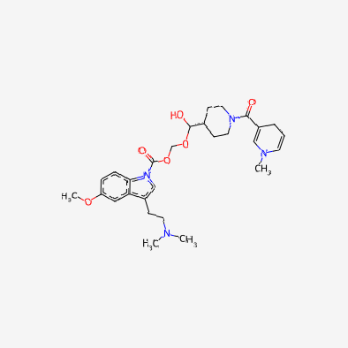 COc1ccc2c(c1)c(CCN(C)C)cn2C(=O)OCOC(O)C1CCN(C(=O)C2=CN(C)C=CC2)CC1